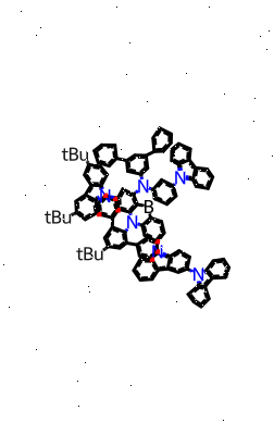 CC(C)(C)c1cc(-c2ccccc2)c(N2c3cc(-n4c5ccccc5c5cc(-n6c7ccccc7c7ccccc76)ccc54)ccc3B3c4ccc(-n5c6ccccc6c6ccccc65)cc4N(c4cc(-c5ccccc5)cc(-c5ccccc5)c4)c4cc(-n5c6ccc(C(C)(C)C)cc6c6cc(C(C)(C)C)ccc65)cc2c43)c(-c2ccccc2)c1